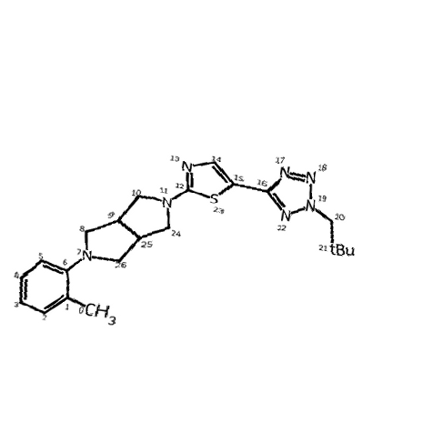 Cc1ccccc1N1CC2CN(c3ncc(-c4nnn(CC(C)(C)C)n4)s3)CC2C1